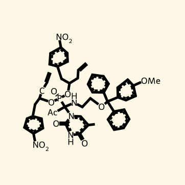 C=CCC(Cc1ccc([N+](=O)[O-])cc1)OP(=O)(OC(CC=C)Cc1ccc([N+](=O)[O-])cc1)C(NCCOC(c1ccccc1)(c1ccccc1)c1ccc(OC)cc1)(C(C)=O)n1cc(C)c(=O)[nH]c1=O